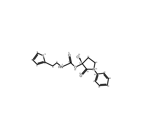 O=C(NCCc1cccs1)O[C@]1(Cl)CCN(c2ccccc2)C1=O